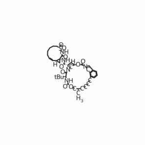 C[C@@H]1CCCCc2cccc3c2CN(C3)C(=O)O[C@@H]2C[C@@H](C(=O)N[C@]34C[C@H]3/C=C\CCCCCS(=O)(=O)NC4=O)N(C2)C(=O)[C@H](C(C)(C)C)NC(=O)OC1